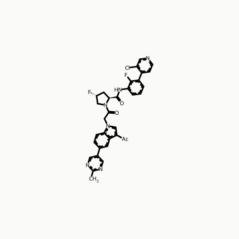 CC(=O)c1cn(CC(=O)N2C[C@H](F)C[C@H]2C(=O)Nc2cccc(-c3ccncc3Cl)c2F)c2ccc(-c3cnc(C)nc3)cc12